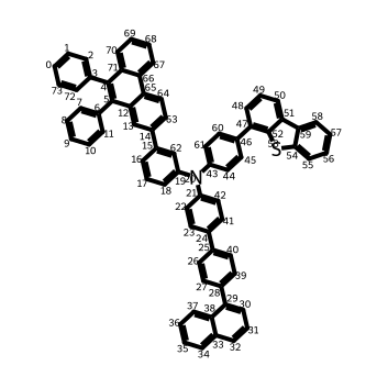 c1ccc(-c2c(-c3ccccc3)c3cc(-c4cccc(N(c5ccc(-c6ccc(-c7cccc8ccccc78)cc6)cc5)c5ccc(-c6cccc7c6sc6ccccc67)cc5)c4)ccc3c3ccccc23)cc1